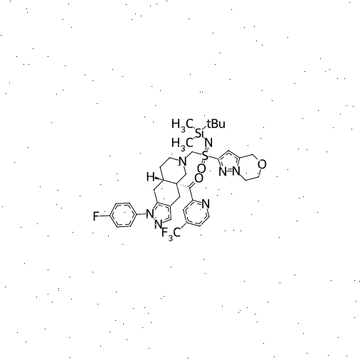 CC(C)(C)[Si](C)(C)N=S(=O)(CN1CC[C@H]2Cc3c(cnn3-c3ccc(F)cc3)C[C@]2(C(=O)c2cc(C(F)(F)F)ccn2)C1)c1cc2n(n1)CCOC2